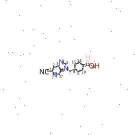 N#Cc1cc2ncn(Cc3ccc(BO)cc3)c2cn1